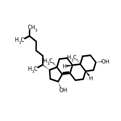 CC(C)CCCC(C)[C@H]1C[C@@H](O)C2=C3CC[C@H]4C[C@@H](O)CC[C@]4(C)[C@H]3CC[C@@]21C